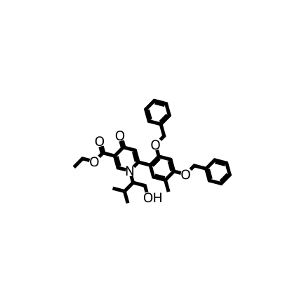 CCOC(=O)c1cn(C(CO)C(C)C)c(-c2cc(C)c(OCc3ccccc3)cc2OCc2ccccc2)cc1=O